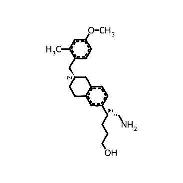 COc1ccc(C[C@@H]2CCc3cc([C@H](CN)CCCO)ccc3C2)c(C)c1